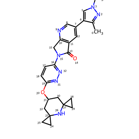 Cc1nn(C)cc1-c1cnc2c(c1)C(=O)N(c1ccc(OC3CC4(CC4)NC4(CC4)C3)nn1)C2